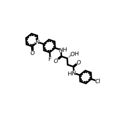 O=C(C[C@@H](O)C(=O)Nc1ccc(-n2ccccc2=O)cc1F)Nc1ccc(Cl)cc1